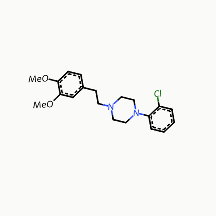 COc1ccc(CCN2CCN(c3ccccc3Cl)CC2)cc1OC